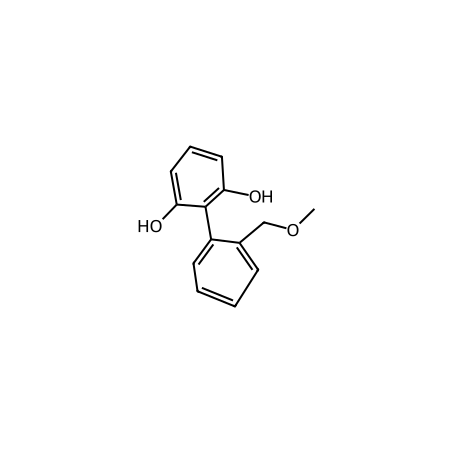 COCc1ccccc1-c1c(O)cccc1O